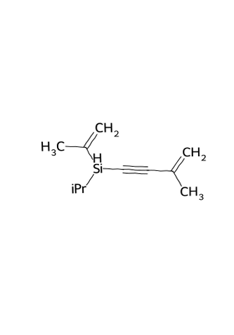 C=C(C)C#C[SiH](C(=C)C)C(C)C